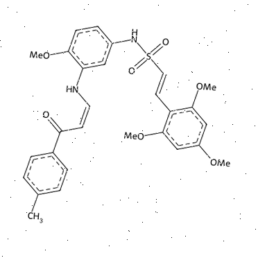 COc1cc(OC)c(/C=C/S(=O)(=O)Nc2ccc(OC)c(N/C=C\C(=O)c3ccc(C)cc3)c2)c(OC)c1